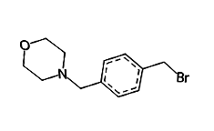 BrCc1ccc(CN2CCOCC2)cc1